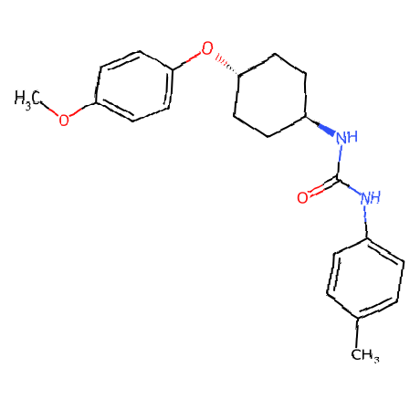 COc1ccc(O[C@H]2CC[C@H](NC(=O)Nc3ccc(C)cc3)CC2)cc1